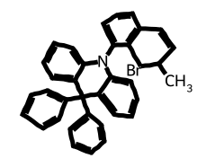 CC1C=Cc2cccc(N3c4ccccc4C(c4ccccc4)(c4ccccc4)c4ccccc43)c2C1Br